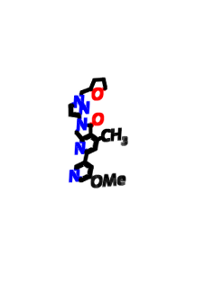 COc1cncc(-c2cc(C)c3c(n2)CN(c2ccn(CC4CCCO4)n2)C3=O)c1